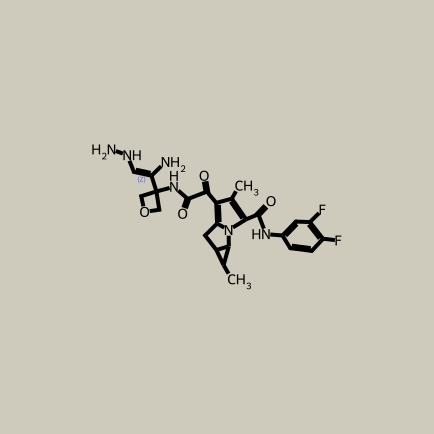 Cc1c(C(=O)C(=O)NC2(/C(N)=C/NN)COC2)c2n(c1C(=O)Nc1ccc(F)c(F)c1)C1C(C)C1C2